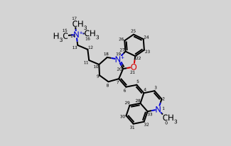 CN1C=C/C(=C/C=C2/CCC(CCC[N+](C)(C)C)C[n+]3c2oc2ccccc23)c2ccccc21